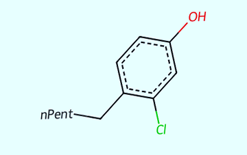 CCCCCCc1ccc(O)cc1Cl